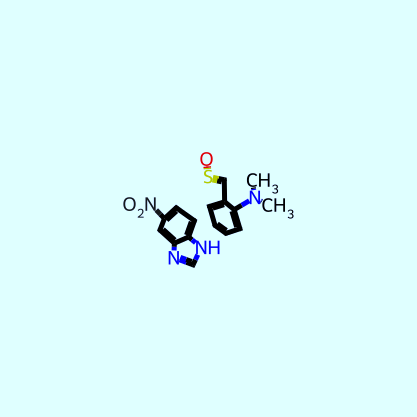 CN(C)c1ccccc1C=S=O.O=[N+]([O-])c1ccc2[nH]cnc2c1